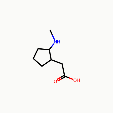 CNC1CCCC1CC(=O)O